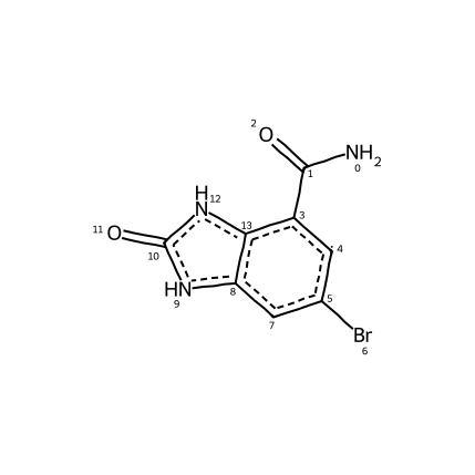 NC(=O)c1[c]c(Br)cc2[nH]c(=O)[nH]c12